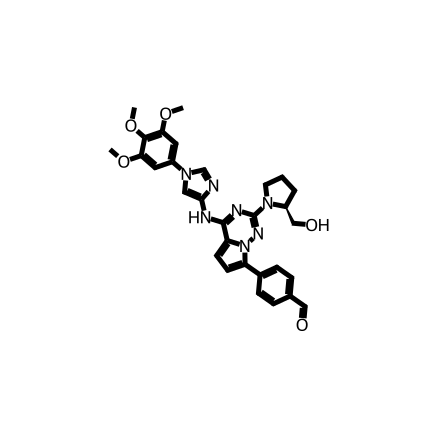 COc1cc(-n2cnc(Nc3nc(N4CCC[C@H]4CO)nn4c(-c5ccc(C=O)cc5)ccc34)c2)cc(OC)c1OC